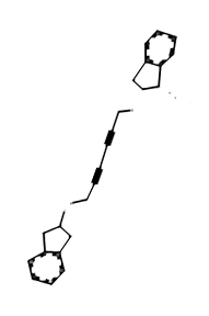 N[C@H]1c2ccccc2C[C@H]1OCC#CC#CCOC1Cc2ccccc2C1